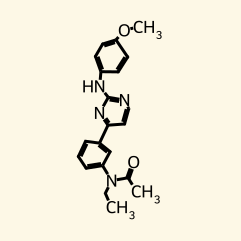 CCN(C(C)=O)c1cccc(-c2ccnc(Nc3ccc(OC)cc3)n2)c1